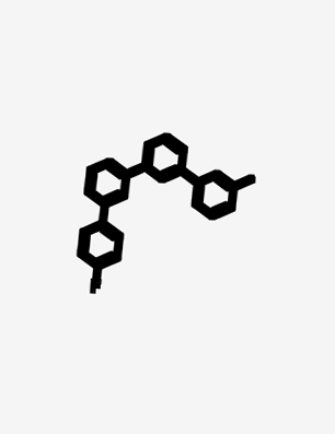 Cc1cccc(-c2cccc(-c3cccc(-c4ccc(F)cc4)c3)c2)c1